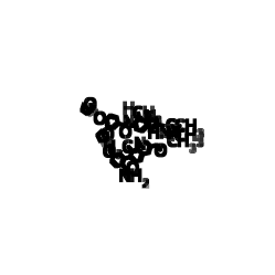 Cc1c(-c2cc(OC[C@@H]3CCCO3)ccc2C(N)=O)ccc2cc(C=O)cnc12.Cc1c(NC(=O)c2ccc(OC[C@@H]3CCCO3)cc2)ccc2cc(CN[C@H](C)C(C)(C)C)cnc12